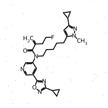 C=C(CCF)C(=O)N(CCCCCc1cc(C2CC2)nn1C)c1cncc(-c2nc(C3CC3)no2)c1